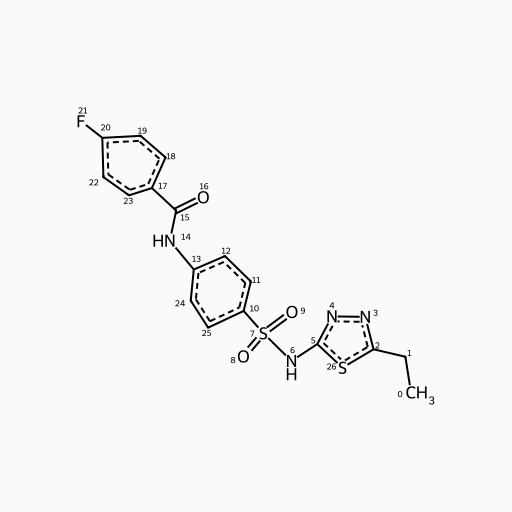 CCc1nnc(NS(=O)(=O)c2ccc(NC(=O)c3ccc(F)cc3)cc2)s1